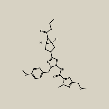 CCOC(=O)C1[C@H]2CC(c3cc(NC(=O)c4cc(COC)nn4C)n(Cc4ccc(OC)cc4)n3)C[C@@H]12